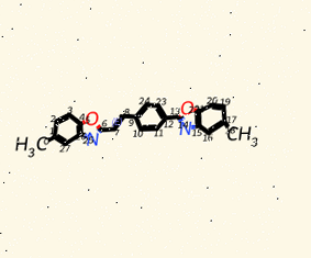 Cc1ccc2oc(/C=C/c3ccc(-c4nc5cc(C)ccc5o4)cc3)nc2c1